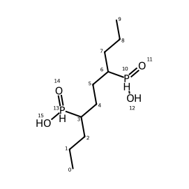 CCCC(CCC(CCC)[PH](=O)O)[PH](=O)O